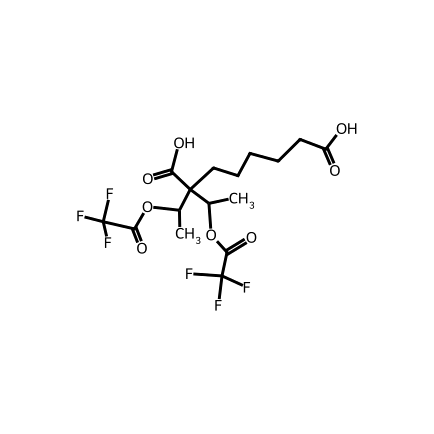 CC(OC(=O)C(F)(F)F)C(CCCCCC(=O)O)(C(=O)O)C(C)OC(=O)C(F)(F)F